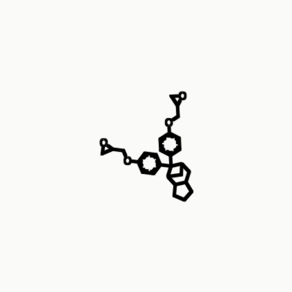 c1cc(C2(c3ccc(OCC4CO4)cc3)C3CC4CCCC4C2C3)ccc1OCC1CO1